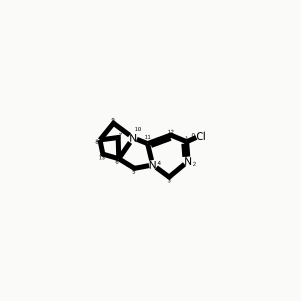 ClC1=NCN2CC34CC(CN3C2=C1)C4